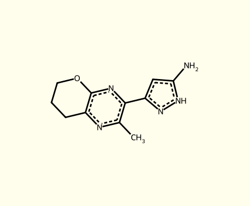 Cc1nc2c(nc1-c1cc(N)[nH]n1)OCCC2